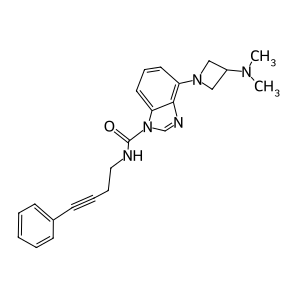 CN(C)C1CN(c2cccc3c2ncn3C(=O)NCCC#Cc2ccccc2)C1